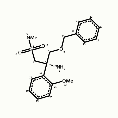 CNS(=O)(=O)C[C@@](N)(COCc1ccccc1)c1ccccc1OC